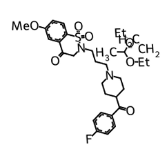 C=C.CCOC(C)OCC.COc1ccc2c(c1)C(=O)CN(CCCN1CCC(C(=O)c3ccc(F)cc3)CC1)S2(=O)=O